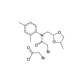 Cc1ccc(N(CC2OCC(C)O2)C(=O)CBr)c(C)c1.O=C(Cl)CBr